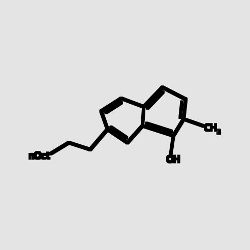 CCCCCCCCCCc1ccc2ccc(C)c(O)c2c1